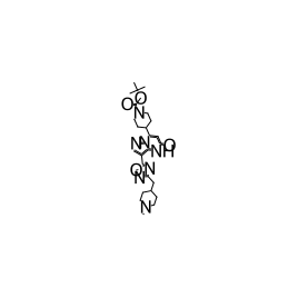 CN1CCC(Cc2noc(-c3cnn4c(C5CCN(C(=O)OC(C)(C)C)CC5)cc(=O)[nH]c34)n2)CC1